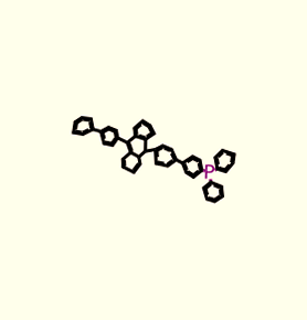 C1=CC2=C(c3ccc(-c4ccccc4)cc3)c3ccccc3C(c3ccc(-c4ccc(P(c5ccccc5)c5ccccc5)cc4)cc3)C2C=C1